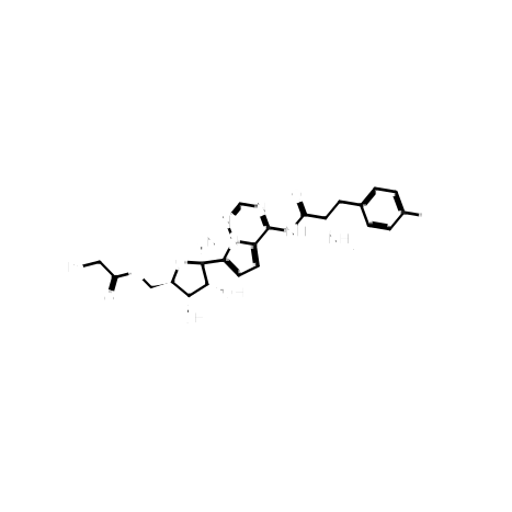 Cc1ccc(C[C@H](N)C(=O)Nc2ncnn3c([C@]4(C#N)O[C@H](COC(=O)CC(C)C)[C@@H](O)[C@H]4O)ccc23)cc1